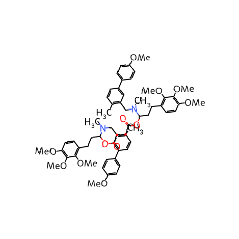 COc1ccc(-c2ccc(C)c(CN(C)C(CCc3ccc(OC)c(OC)c3OC)OC(=O)/C=C/C(=O)OC(CCc3ccc(OC)c(OC)c3OC)N(C)Cc3cc(-c4ccc(OC)cc4)ccc3C)c2)cc1